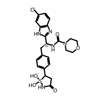 O=C1CC(c2ccc(C[C@H](NC(=O)N3CCOCC3)c3nc4ccc(Cl)cc4[nH]3)cc2)S(O)(O)N1